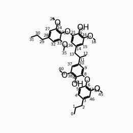 CCCc1ccc(Oc2cc(C(C)Cc3cc(OC)c(O)c(Oc4c(OC)cc(CCC)cc4OC)c3)cc(OC)c2O)c(OC)c1